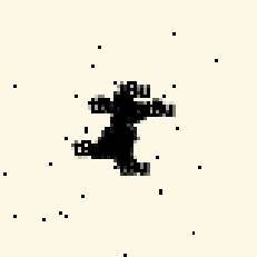 CC(C)(C)c1ccc(OP(=O)(Oc2ccc(C(C)(C)C)cc2C(C)(C)C)c2cccc(-c3cccc(P(=O)(Oc4ccc(C(C)(C)C)cc4C(C)(C)C)Oc4ccc(C(C)(C)C)cc4C(C)(C)C)c3)c2)c(C(C)(C)C)c1